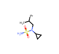 CC(C)C(C)CN(C1CC1)S(N)(=O)=O